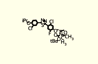 CC(C)Oc1ccc(-c2nnc(-c3cc(F)c(OC[C@@H]4COC(C)(C)N4C(=O)OC(C)(C)C)cc3Cl)s2)cc1Cl